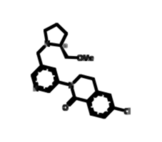 COC[C@@H]1CCCN1Cc1cncc(N2CCc3cc(Cl)ccc3C2=O)c1